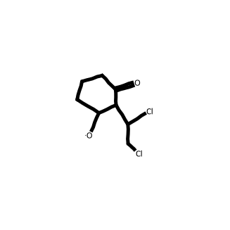 [O]C1CC[CH]C(=O)C1C(Cl)CCl